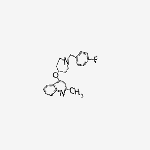 Cc1cc(OC2CCN(Cc3ccc(F)cc3)CC2)c2ccccc2n1